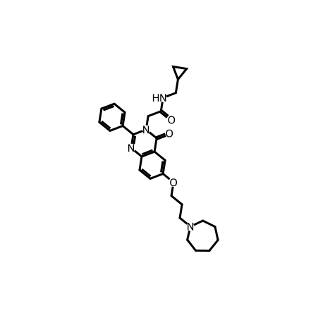 O=C(Cn1c(-c2ccccc2)nc2ccc(OCCCN3CCCCCC3)cc2c1=O)NCC1CC1